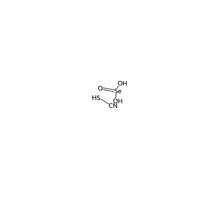 N#CS.O=[Se](O)O